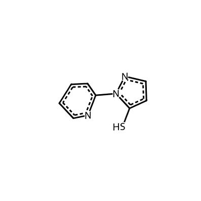 Sc1ccnn1-c1ccccn1